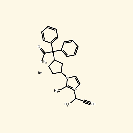 C#CC(C)[n+]1ccn([C@H]2CC[C@@H](C(C(N)=O)(c3ccccc3)c3ccccc3)C2)c1C.[Br-]